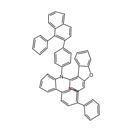 c1ccc(-c2ccc(-c3ccccc3N(c3ccc(-c4ccc5ccccc5c4-c4ccccc4)cc3)c3cccc4oc5ccccc5c34)cc2)cc1